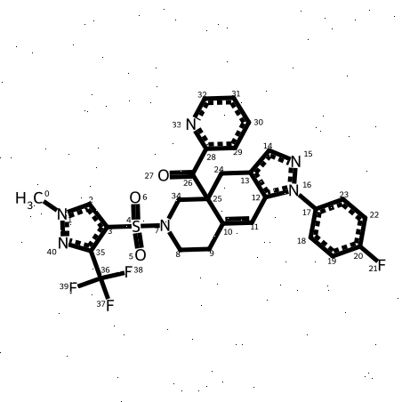 Cn1cc(S(=O)(=O)N2CCC3=Cc4c(cnn4-c4ccc(F)cc4)CC3(C(=O)c3ccccn3)C2)c(C(F)(F)F)n1